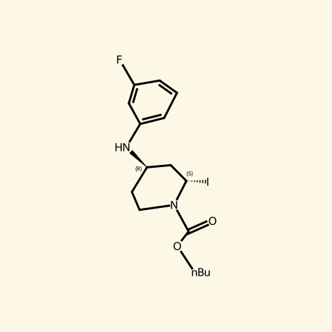 CCCCOC(=O)N1CC[C@@H](Nc2cccc(F)c2)C[C@@H]1I